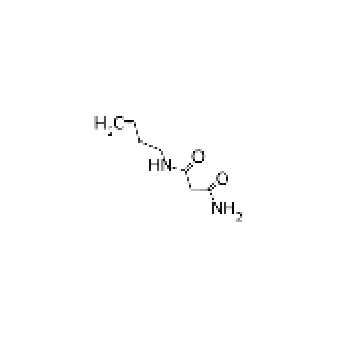 C=CCCNC(=O)CC(N)=O